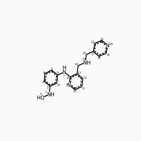 ONc1cccc(Nc2ncccc2CNCc2ccncc2)c1